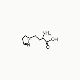 NC(CCN1CCC=N1)C(=O)O